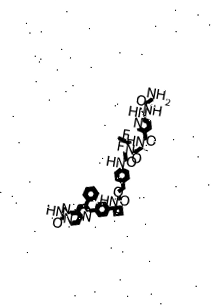 C[C@@H](NC(=O)c1ccc(NNC(=O)CN)nc1)C(=O)N(CC(=O)Nc1ccc(COC(=O)NC2(c3ccc(-c4nc5ccn6c(=O)[nH]nc6c5cc4-c4ccccc4)cc3)CCC2)cc1)CC(C)(F)F